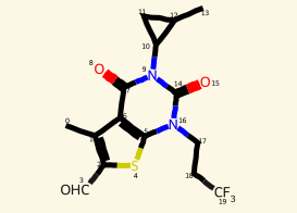 Cc1c(C=O)sc2c1c(=O)n(C1CC1C)c(=O)n2CCC(F)(F)F